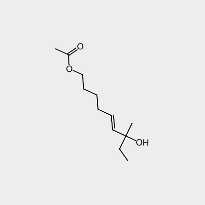 CCC(C)(O)/C=C/CCCCOC(C)=O